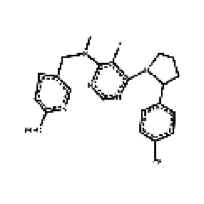 COc1ccc(CN(C)c2ncnc(N3CCCC3c3ccc(C(F)(F)F)cc3)c2F)cn1